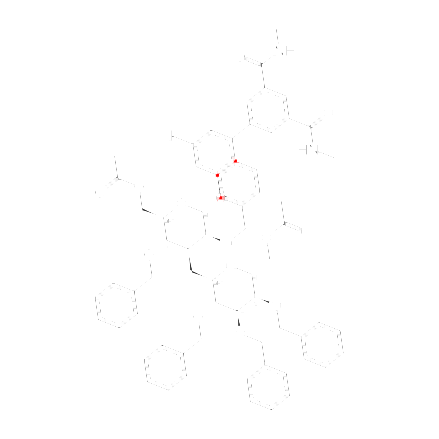 CNC(=O)c1cc(C(=O)NC)cc(-c2cc(Cl)cc(O[C@H]3O[C@H](COC(C)=O)[C@@H](OCc4ccccc4)[C@H](C[C@H]4O[C@H](COC(C)=O)[C@@H](OCc5ccccc5)[C@@H](OCc5ccccc5)[C@@H]4OCc4ccccc4)[C@@H]3OCc3ccccc3)c2)c1